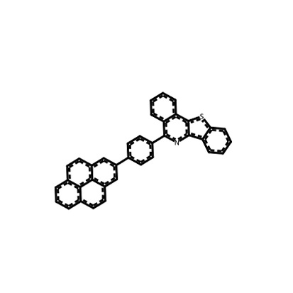 c1cc2ccc3cc(-c4ccc(-c5nc6c7ccccc7sc6c6ccccc56)cc4)cc4ccc(c1)c2c34